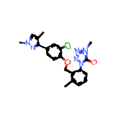 Cc1cn(C)nc1-c1ccc(OCc2c(C)cccc2-n2nnn(C)c2=O)c(Cl)c1